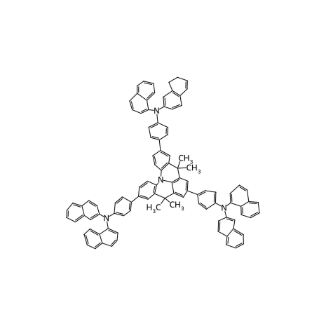 CC1(C)c2cc(-c3ccc(N(c4ccc5c(c4)CCC=C5)c4cccc5ccccc45)cc3)ccc2N2c3ccc(-c4ccc(N(c5ccc6ccccc6c5)c5cccc6ccccc56)cc4)cc3C(C)(C)c3cc(-c4ccc(N(c5ccc6ccccc6c5)c5cccc6ccccc56)cc4)cc1c32